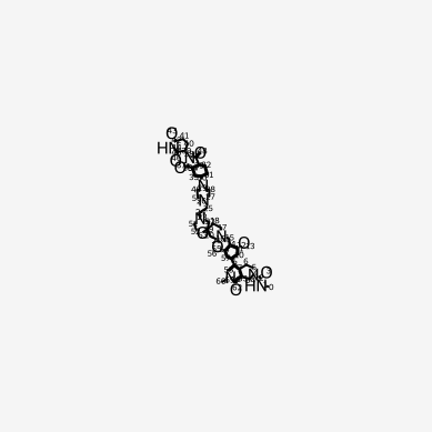 CNC(=O)N1CCc2c(-c3cc(OC)c(CN4CCC5(CC4)CN(CCN4CCN(c6ccc7c(c6)C(=O)N(C6CCC(=O)NC6=O)C7=O)CC4)CCO5)c(OC)c3)cn(C)c(=O)c2C1